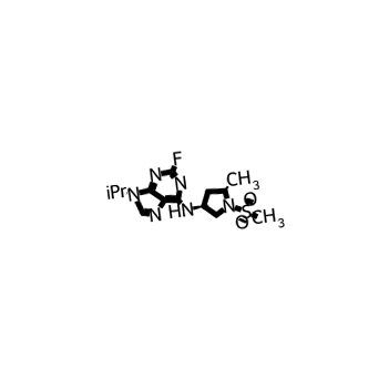 CC(C)n1cnc2c(N[C@H]3C[C@H](C)N(S(C)(=O)=O)C3)nc(F)nc21